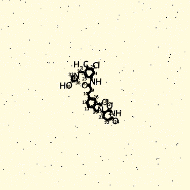 Cc1c(Cl)cc(NC(=O)CCc2ccc3c(c2)C(=O)N(C2CCC(=O)NC2=O)C3)cc1CN1CC(O)C1